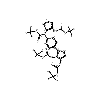 CC(C)(C)OC(=O)Nc1cscc1N(C(=O)OC(C)(C)C)c1ccc(-c2scc(NC(=O)OC(C)(C)C)c2NC(=O)OC(C)(C)C)cc1